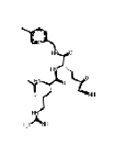 CC(=O)N[C@@H](CCCNC(=N)N)C(=O)N[C@@H](CCC(=O)C=N)C(=O)NCc1ccc(C)cc1